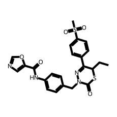 CCC1SC(=O)N(Cc2ccc(NC(=O)c3cnco3)cc2)N=C1c1ccc(S(C)(=O)=O)cc1